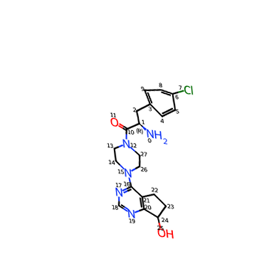 N[C@H](Cc1ccc(Cl)cc1)C(=O)N1CCN(c2ncnc3c2CCC3O)CC1